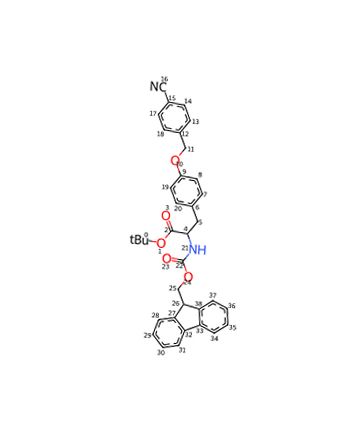 CC(C)(C)OC(=O)C(Cc1ccc(OCc2ccc(C#N)cc2)cc1)NC(=O)OCC1c2ccccc2-c2ccccc21